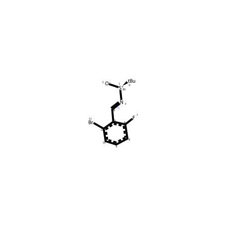 CC(C)(C)[S@+]([O-])/N=C/c1c(F)cccc1Br